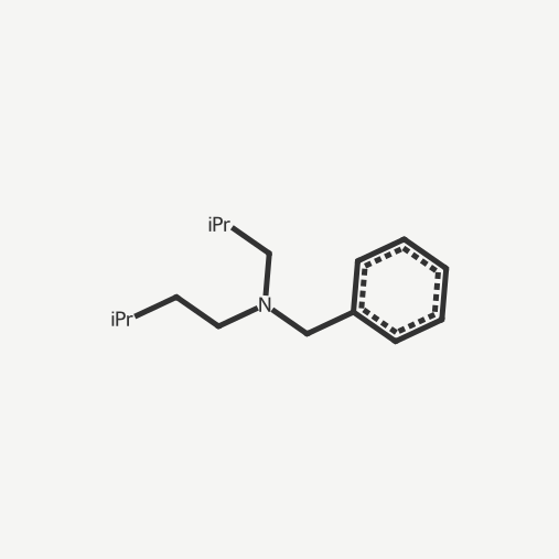 CC(C)CCN(Cc1ccccc1)CC(C)C